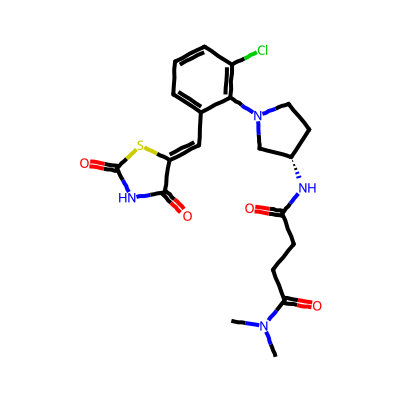 CN(C)C(=O)CCC(=O)N[C@H]1CCN(c2c(Cl)cccc2/C=C2\SC(=O)NC2=O)C1